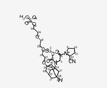 CC(C)(C)OC(=O)N(CC(=O)N1CCCC1C#N)C12CC3C[C@H](CC(OCCOCCOCCOS(C)(=O)=O)(C3)C1)C2